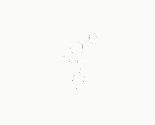 Cc1nn(C(C)c2ccc(Cl)c(Cl)c2)c(OC(=O)c2ncco2)c1C